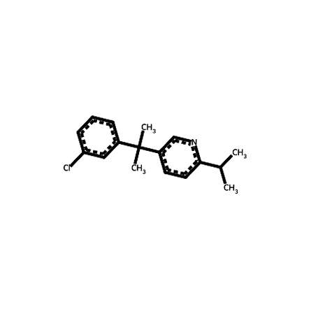 CC(C)c1ccc(C(C)(C)c2cccc(Cl)c2)cn1